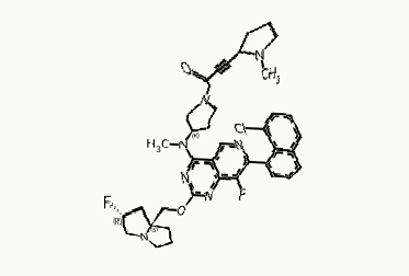 CN1CCCC1C#CC(=O)N1CC[C@@H](N(C)c2nc(OC[C@@]34CCCN3C[C@H](F)C4)nc3c(F)c(-c4cccc5cccc(Cl)c45)ncc23)C1